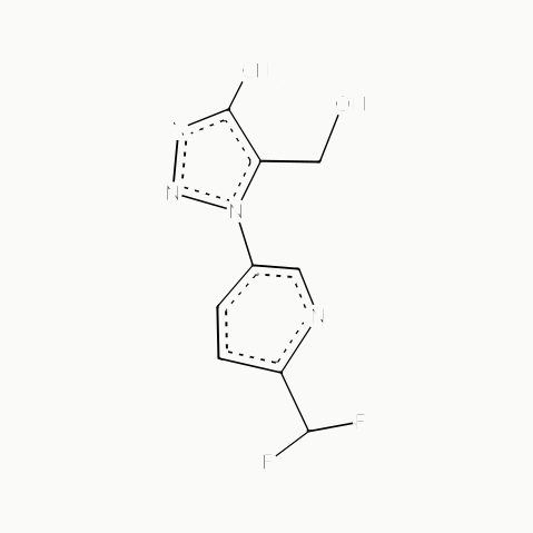 Cc1nnn(-c2ccc(C(F)F)nc2)c1CO